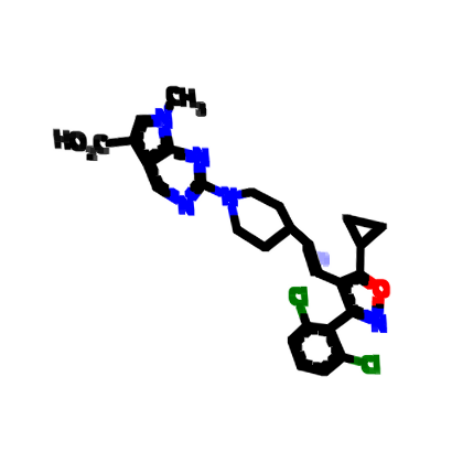 Cn1cc(C(=O)O)c2cnc(N3CCC(/C=C/c4c(-c5c(Cl)cccc5Cl)noc4C4CC4)CC3)nc21